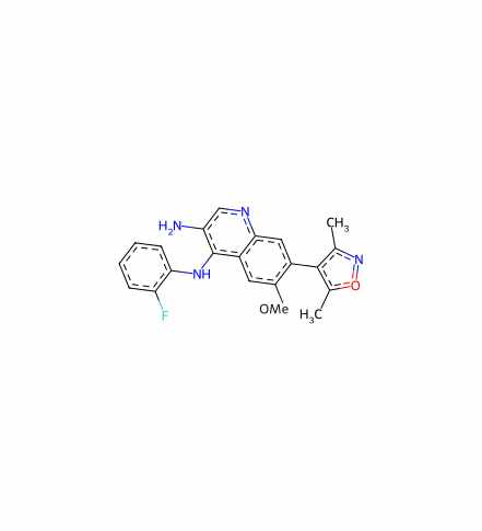 COc1cc2c(Nc3ccccc3F)c(N)cnc2cc1-c1c(C)noc1C